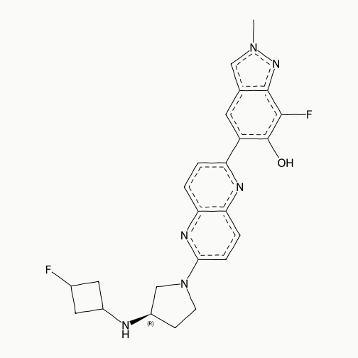 Cn1cc2cc(-c3ccc4nc(N5CC[C@@H](NC6CC(F)C6)C5)ccc4n3)c(O)c(F)c2n1